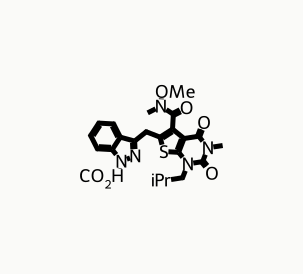 CON(C)C(=O)c1c(Cc2nn(C(=O)O)c3ccccc23)sc2c1c(=O)n(C)c(=O)n2CC(C)C